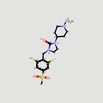 CS(=O)(=O)c1cc(F)c(CN2CCN(C3CCN(C(=O)O)CC3)C2=O)c(F)c1